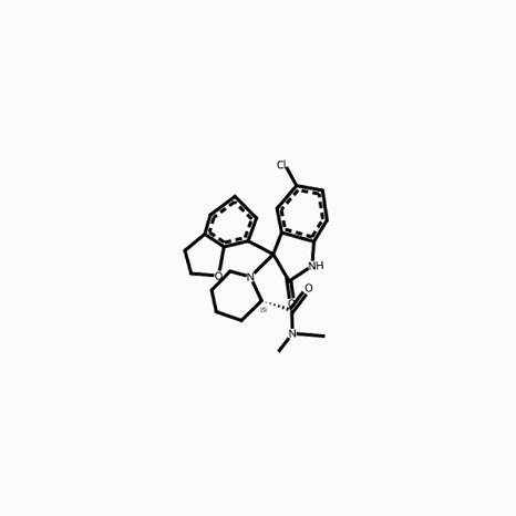 CN(C)C(=O)[C@@H]1CCCCN1C1(c2cccc3c2OCC3)C(=O)Nc2ccc(Cl)cc21